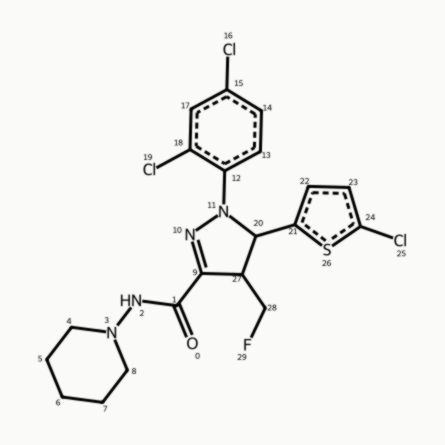 O=C(NN1CCCCC1)C1=NN(c2ccc(Cl)cc2Cl)C(c2ccc(Cl)s2)C1CF